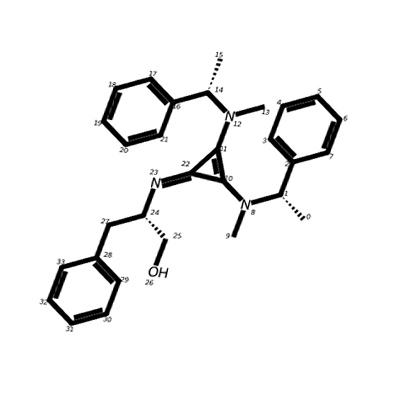 C[C@@H](c1ccccc1)N(C)c1c(N(C)[C@@H](C)c2ccccc2)c1=N[C@H](CO)Cc1ccccc1